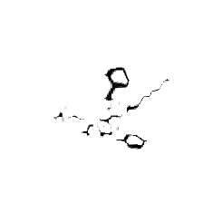 N=C(N)NCCC[C@H](NC(=O)[C@@H](Cc1ccc(Cl)cc1)NC(=O)[C@H](COCc1ccccc1)NC(=O)CCCCCCN)C(=O)O